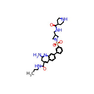 CCCNC(=O)C1=Cc2ccc(-c3cccc(S(=O)(=O)N4CC(CNC(=O)C5CCNCC5)C4)c3)cc2N=C(N)C1